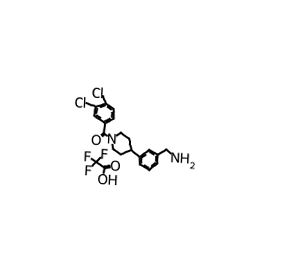 NCc1cccc(C2CCN(C(=O)c3ccc(Cl)c(Cl)c3)CC2)c1.O=C(O)C(F)(F)F